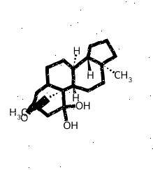 CC#C[C@]12C(CC[C@H]3[C@@H]4CCC[C@@]4(C)CC[C@@H]31)CC(=O)CC2(O)O